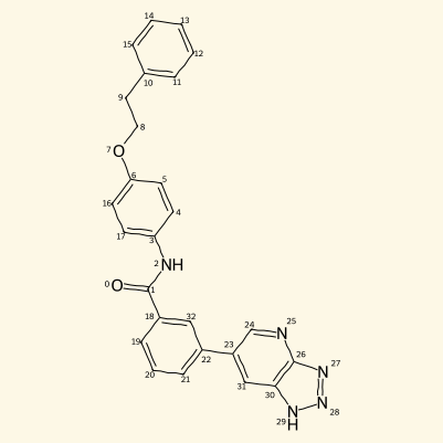 O=C(Nc1ccc(OCCc2ccccc2)cc1)c1cccc(-c2cnc3nn[nH]c3c2)c1